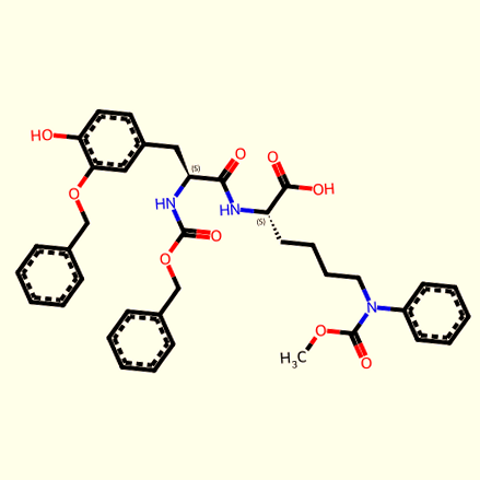 COC(=O)N(CCCC[C@H](NC(=O)[C@H](Cc1ccc(O)c(OCc2ccccc2)c1)NC(=O)OCc1ccccc1)C(=O)O)c1ccccc1